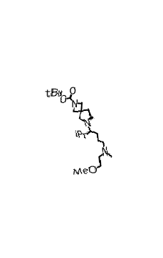 COCCN(C)CCCC(C(C)C)N1CCC2(CN(C(=O)OC(C)(C)C)C2)C1